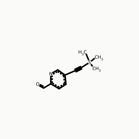 CS(C)(C)C#Cc1ccc(C=O)nc1